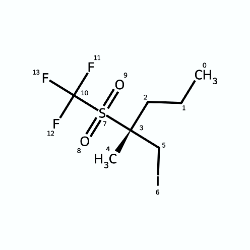 CCC[C@](C)(CI)S(=O)(=O)C(F)(F)F